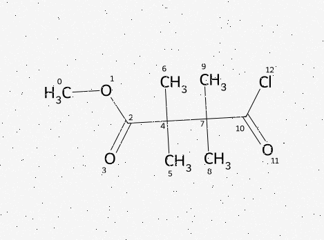 COC(=O)C(C)(C)C(C)(C)C(=O)Cl